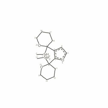 C[SiH2]C1(c2ccoc2C2([SiH2]C)CCCCO2)CCCCO1